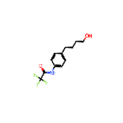 O=C(Nc1ccc(CCCCO)cc1)C(F)(F)F